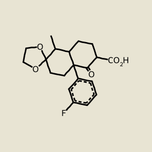 CC1C2CCC(C(=O)O)C(=O)C2(c2cccc(F)c2)CCC12OCCO2